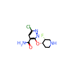 NC(=O)c1cc(Cl)nnc1O[C@H]1CCNC[C@H]1F